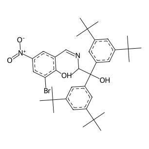 CC(N=Cc1cc([N+](=O)[O-])cc(Br)c1O)C(O)(c1cc(C(C)(C)C)cc(C(C)(C)C)c1)c1cc(C(C)(C)C)cc(C(C)(C)C)c1